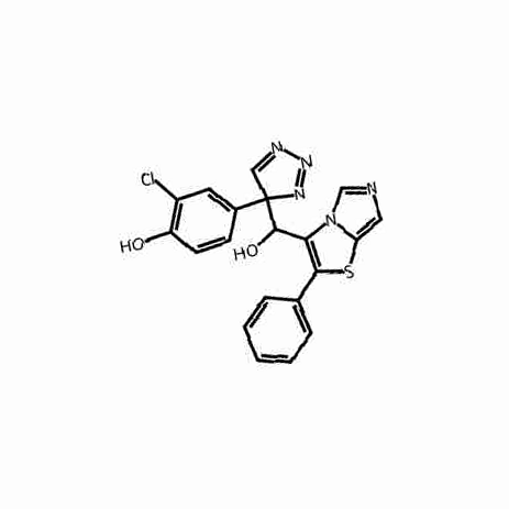 Oc1ccc(C2(C(O)c3c(-c4ccccc4)sc4cncn34)C=NN=N2)cc1Cl